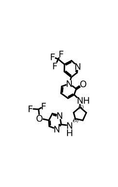 O=c1c(N[C@H]2CC[C@H](Nc3ncc(OC(F)F)cn3)C2)cccn1-c1cncc(C(F)(F)F)c1